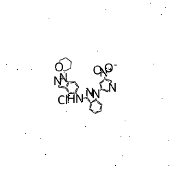 O=[N+]([O-])c1cncc(-n2nc(Nc3ccc4c(cnn4C4CCCCO4)c3Cl)c3ccccc32)c1